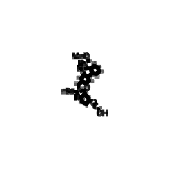 CCCCc1nc2ccc(OCCO)cc2c(=O)n1Cc1ccc(-c2ccccc2-c2nnnn2COC)cc1